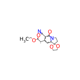 CCOC(=O)[CH]c1cc2n(c(=O)c1C#N)CCC21OCCO1